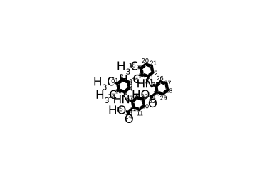 Cc1cccc(Nc2ccccc2C(=O)O)c1C.Cc1cccc(Nc2ccccc2C(=O)O)c1C